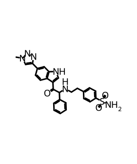 Cn1cc(-c2ccc3c(C(=O)C(NCCc4ccc(S(N)(=O)=O)cc4)c4ccccc4)c[nH]c3c2)nn1